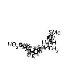 CSc1cnc(NC[C@H](C)CNc2nc3cc(F)c(C(=O)N4CCC5(CN(C(=O)O)C5)C4)cc3s2)nc1